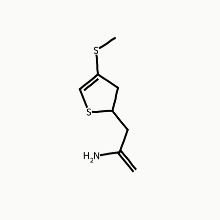 C=C(N)CC1CC(SC)=CS1